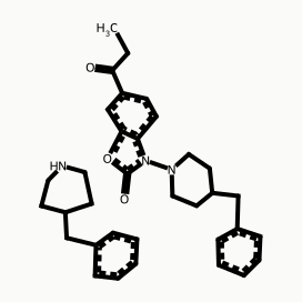 CCC(=O)c1ccc2c(c1)oc(=O)n2N1CCC(Cc2ccccc2)CC1.c1ccc(CC2CCNCC2)cc1